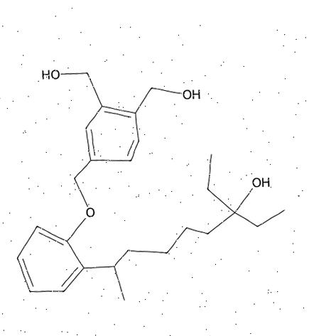 CCC(O)(CC)CCCCC(C)c1ccccc1OCc1ccc(CO)c(CO)c1